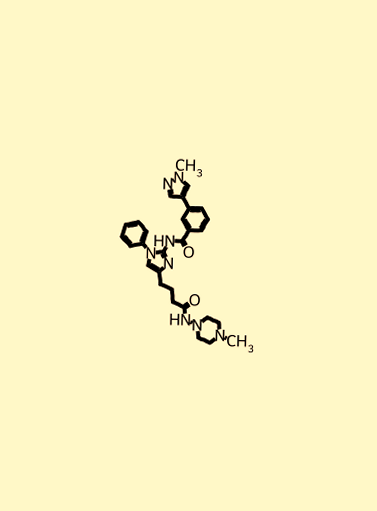 CN1CCN(NC(=O)CCCc2cn(-c3ccccc3)c(NC(=O)c3cccc(-c4cnn(C)c4)c3)n2)CC1